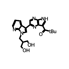 CC(C)(C)C(=O)c1c[nH]c2ncc(-c3cn(CC(CO)CO)c4ncccc34)nc12